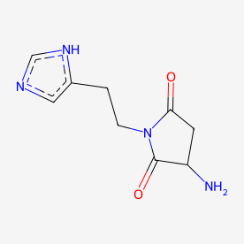 NC1CC(=O)N(CCc2cnc[nH]2)C1=O